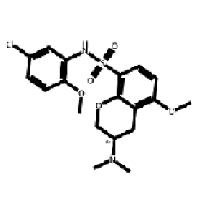 COc1ccc(Cl)cc1NS(=O)(=O)c1ccc(OC)c2c1OC[C@H](N(C)C)C2